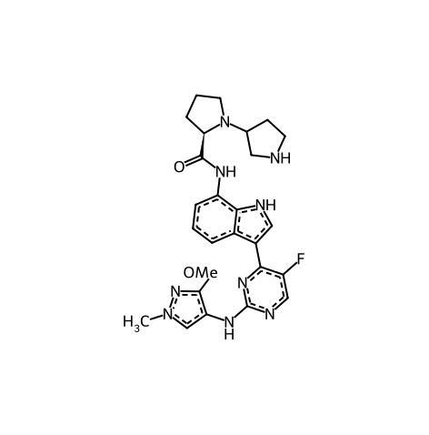 COc1nn(C)cc1Nc1ncc(F)c(-c2c[nH]c3c(NC(=O)[C@H]4CCCN4C4CCNC4)cccc23)n1